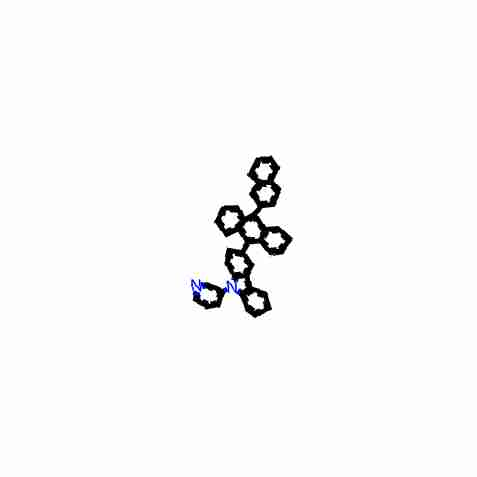 c1cncc(-n2c3ccccc3c3cc(-c4c5ccccc5c(-c5ccc6ccccc6c5)c5ccccc45)ccc32)c1